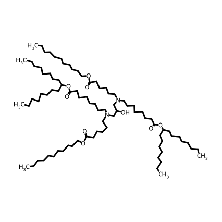 CCCCCCCCCCCOC(=O)CCCCCN(CCCCCCCC(=O)OC(CCCCCCCC)CCCCCCCC)CC(O)CN(CCCCCCCC(=O)OC(CCCCCCCC)CCCCCCCC)CCCCCC(=O)OCCCCCCCCCCC